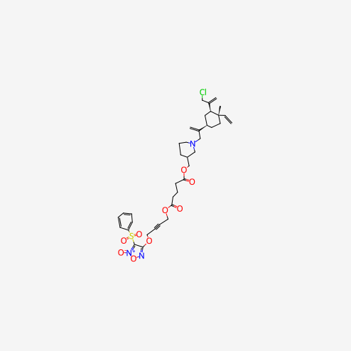 C=C[C@]1(C)CC[C@@H](C(=C)CN2CCCC(COC(=O)CCCC(=O)OCC#CCOc3no[n+]([O-])c3S(=O)(=O)c3ccccc3)C2)C[C@H]1C(=C)CCl